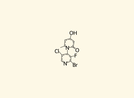 Cc1cc(O)cc(=O)n1-c1c(Cl)cnc(Br)c1F